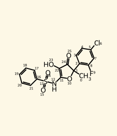 CC1(c2ccc(Cl)cc2F)OC(NS(=O)(=O)c2ccccc2)=C(O)C1=O